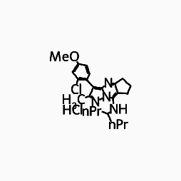 CCCC(CCC)Nc1c2c(nc3c(-c4ccc(OC)cc4Cl)c(C)nn13)CCC2.Cl